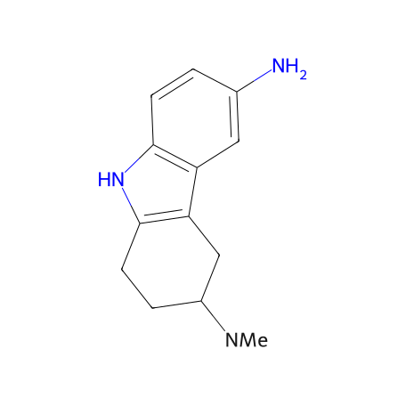 CNC1CCc2[nH]c3ccc(N)cc3c2C1